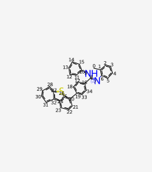 Cc1ccccc1/N=C(\Nc1ccccc1)c1ccc(-c2cccc3c2sc2ccccc23)cc1